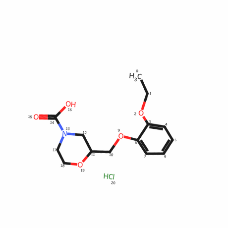 CCOc1ccccc1OCC1CN(C(=O)O)CCO1.Cl